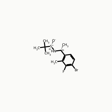 Cc1c([C@@H](C)N[S@@+]([O-])C(C)(C)C)ccc(Br)c1F